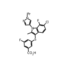 Cc1c(Sc2cc(F)cc(C(=O)O)c2)c2ccc(Cl)c(F)c2n1-c1cnn(C(C)C)c1